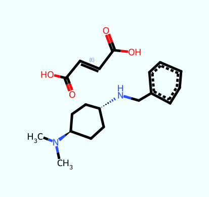 CN(C)[C@H]1CC[C@H](NCc2ccccc2)CC1.O=C(O)/C=C/C(=O)O